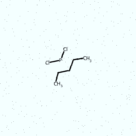 CCCCC.Cl[P]Cl